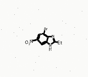 CCc1nc2c(Br)cc([N+](=O)[O-])cc2[nH]1